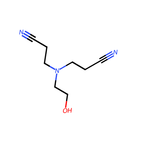 N#CCCN(CCO)CCC#N